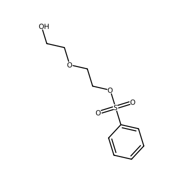 O=S(=O)(OCCOCCO)c1ccccc1